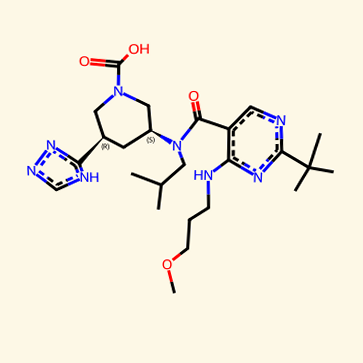 COCCCNc1nc(C(C)(C)C)ncc1C(=O)N(CC(C)C)[C@H]1C[C@@H](c2nnc[nH]2)CN(C(=O)O)C1